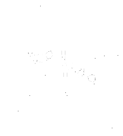 COc1ccc(CCNC(=O)C[S+]([O-])Cc2nc(-c3ccccc3)oc2C)cc1OC